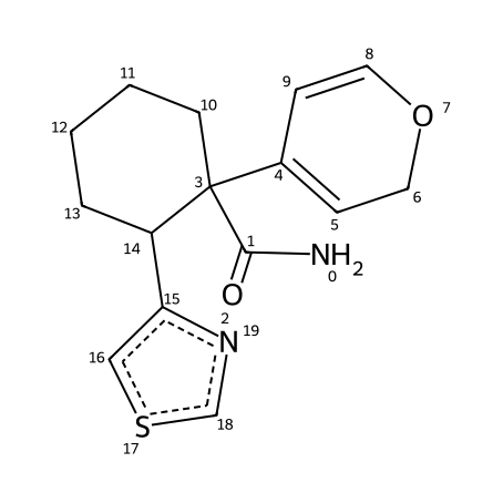 NC(=O)C1(C2=CCOC=C2)CCCCC1c1cscn1